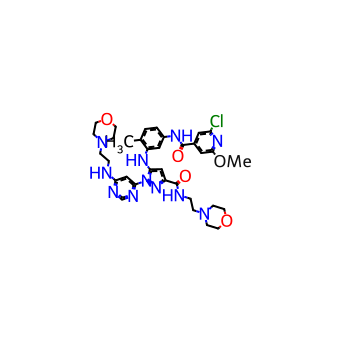 COc1cc(C(=O)Nc2ccc(C)c(Nc3cc(C(=O)NCCN4CCOCC4)nn3-c3cc(NCCN4CCOCC4)ncn3)c2)cc(Cl)n1